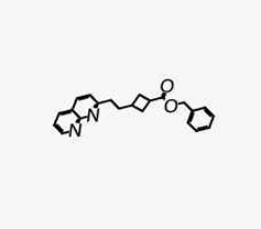 O=C(OCc1ccccc1)C1CC(CCc2ccc3cccnc3n2)C1